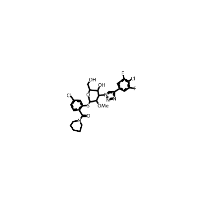 COC1C(Sc2cc(Cl)ccc2C(=O)N2CCCCC2)OC(CO)C(O)C1n1cc(-c2cc(F)c(Cl)c(F)c2)nn1